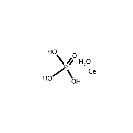 O.O=P(O)(O)O.[Ce]